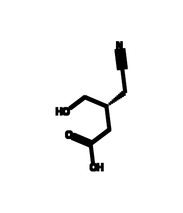 N#CC[C@@H](CO)CC(=O)O